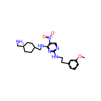 COc1cccc(CCNc2ncc([N+](=O)[O-])c(NCC3CCC(CN)CC3)n2)c1